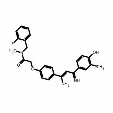 Cc1cc(C(=N)/C=C(\N)c2ccc(OCC(=O)N(C)Cc3ccccc3F)cc2)ccc1O